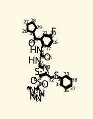 Cn1nnnc1S(=O)(=O)c1sc(NC(=O)Nc2ccc(F)cc2C(=O)C2CCCC2)nc1CSc1ccccc1